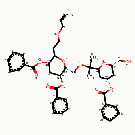 C=CCOCCC1O[C@H](COC(C)(C)C2C[C@@H](OC(=O)c3ccccc3)C[C@@H](CO)O2)[C@@H](OC(=O)c2ccccc2)C[C@H]1OC(=O)c1ccccc1